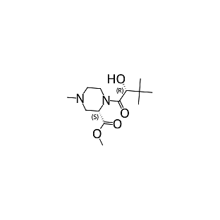 COC(=O)[C@@H]1CN(C)CCN1C(=O)[C@H](O)C(C)(C)C